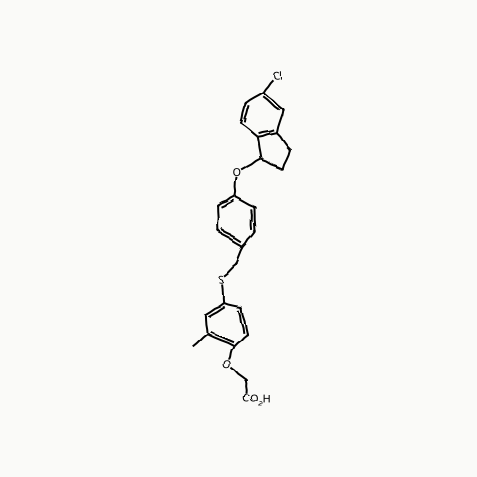 Cc1cc(SCc2ccc(OC3CCc4cc(Cl)ccc43)cc2)ccc1OCC(=O)O